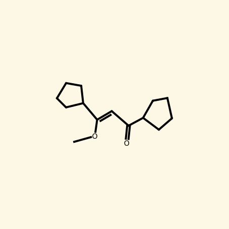 CO/C(=C\C(=O)C1CCCC1)C1CCCC1